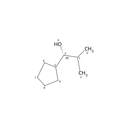 CC(C)[C@@H](O)C1CCCC1